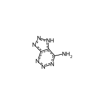 Nc1nnnc2nn[nH]c12